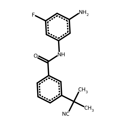 CC(C)(C#N)c1cccc(C(=O)Nc2cc(N)cc(F)c2)c1